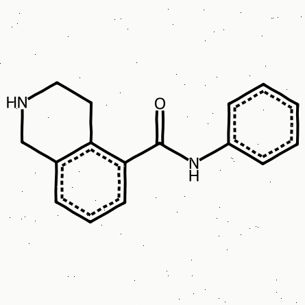 O=C(Nc1ccccc1)c1cccc2c1CCNC2